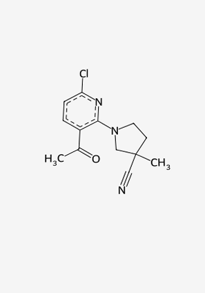 CC(=O)c1ccc(Cl)nc1N1CCC(C)(C#N)C1